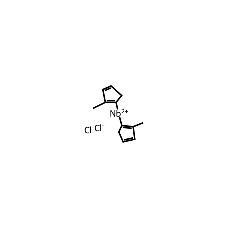 CC1=[C]([Nb+2][C]2=C(C)C=CC2)CC=C1.[Cl-].[Cl-]